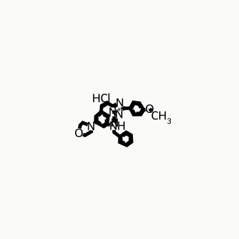 COc1ccc(C2=N[N+]3(C#N)C(=N2)C=Cc2cc(N4CCOCC4)cc(NCc4ccccc4)c23)cc1.Cl